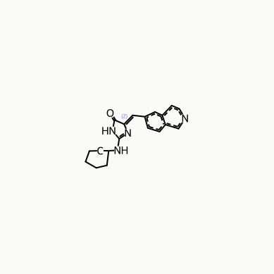 O=C1NC(NC2CCCCC2)=N/C1=C\c1ccc2cnccc2c1